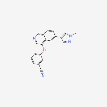 Cn1cc(-c2ccc3cncc(Oc4cccc(C#N)c4)c3c2)cn1